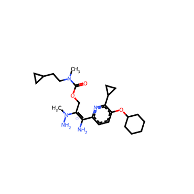 CN(CCC1CC1)C(=O)OC/C(=C(/N)c1ccc(OC2CCCCC2)c(C2CC2)n1)N(C)N